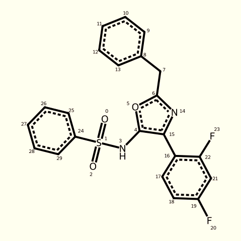 O=S(=O)(Nc1oc(Cc2ccccc2)nc1-c1ccc(F)cc1F)c1ccccc1